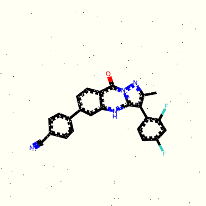 Cc1nn2c(=O)c3ccc(-c4ccc(C#N)cc4)cc3[nH]c2c1-c1ccc(F)cc1F